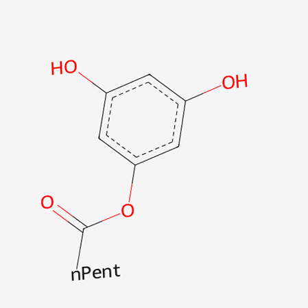 CCCCCC(=O)Oc1cc(O)cc(O)c1